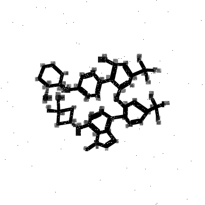 Cn1ccc2c(-c3ncc(C(F)(F)F)cc3Oc3cc(C(F)(F)F)cc(O)c3-c3ncc(N[C@@H]4CCCC[C@H]4O)nn3)nnc(N[C@H]3C[C@@](C)(O)C3)c21